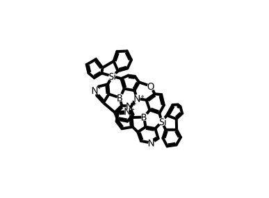 c1ccc2c(c1)-c1ccccc1[Si]21c2cncc3c2B2c4c1ccc1c4[N+]4(c5c(ccc6c5B5c7c(cncc7[Si]67c6ccccc6-c6ccccc67)-c6ccc[n+]4c65)O1)[n+]1cccc-3c12